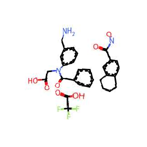 NCc1cccc(N(CC(=O)O)C(=O)c2ccccc2)c1.O=C(O)C(F)(F)F.O=NC(=O)c1ccc2c(c1)CCCC2